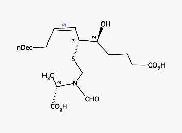 CCCCCCCCCCC/C=C\[C@@H](SCN(C=O)[C@@H](C)C(=O)O)[C@@H](O)CCCC(=O)O